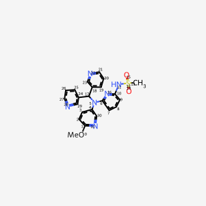 COc1ccc(N(c2cccc(NS(C)(=O)=O)n2)C(c2cccnc2)c2cccnc2)cn1